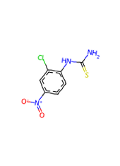 NC(=S)Nc1ccc([N+](=O)[O-])cc1Cl